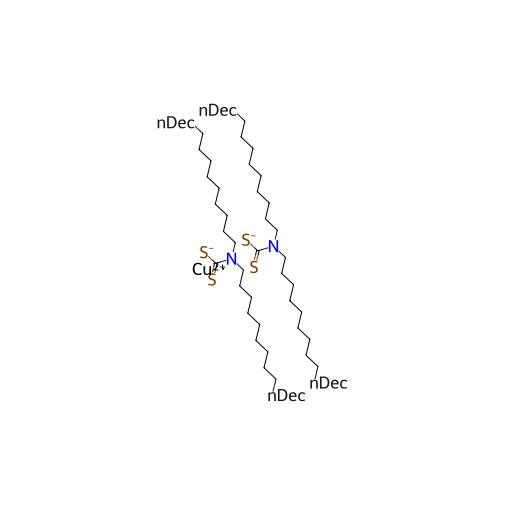 CCCCCCCCCCCCCCCCCCCN(CCCCCCCCCCCCCCCCCCC)C(=S)[S-].CCCCCCCCCCCCCCCCCCCN(CCCCCCCCCCCCCCCCCCC)C(=S)[S-].[Cu+2]